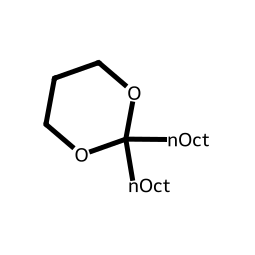 CCCCCCCCC1(CCCCCCCC)OCCCO1